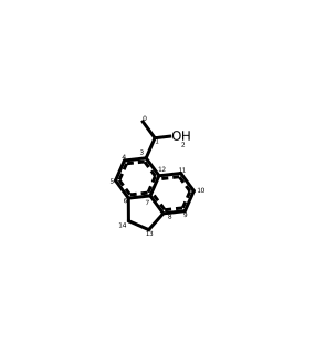 CC(O)c1ccc2c3c(cccc13)CC2